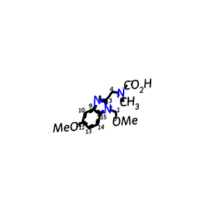 COCn1c(CN(C)C(=O)O)nc2cc(OC)ccc21